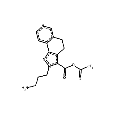 NCCCn1nc2c(c1C(=O)OC(=O)C(F)(F)F)CCc1cnccc1-2